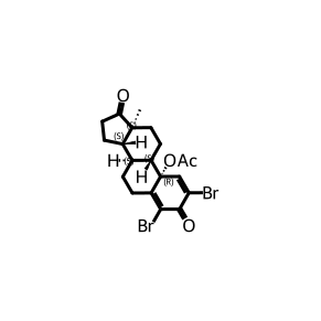 CC(=O)O[C@]12C=C(Br)C(=O)C(Br)=C1CC[C@H]1[C@@H]3CCC(=O)[C@@]3(C)CC[C@@H]12